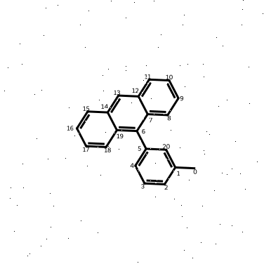 Cc1cccc(-c2c3ccccc3cc3ccccc23)c1